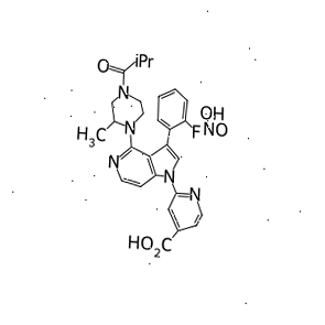 CC(C)C(=O)N1CCN(c2nccc3c2c(-c2ccccc2F)cn3-c2cc(C(=O)O)ccn2)C(C)C1.O=NO